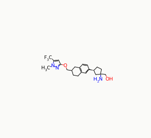 Cn1nc(OCC2CCc3cc([C@H]4CC[C@](N)(CO)C4)ccc3C2)cc1C(F)(F)F